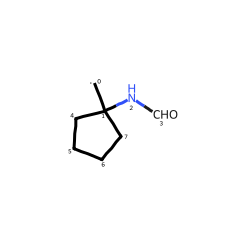 [CH2]C1(NC=O)CCCC1